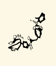 COC(=O)CC1(c2ccc(NC(=O)Cc3ccc4nc(Nc5ccccc5C)oc4c3)cc2)CCOCC1